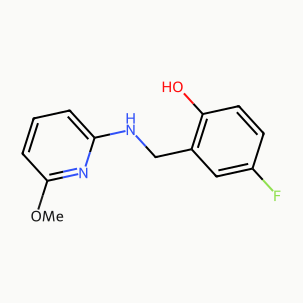 COc1cccc(NCc2cc(F)ccc2O)n1